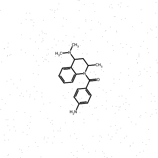 CC1CC(N(C)C)c2ccccc2N1C(=O)c1ccc(N)cc1